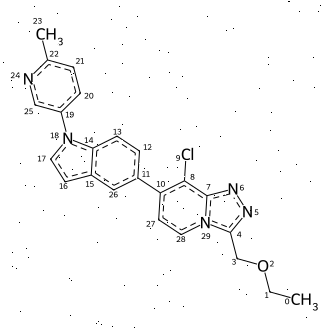 CCOCc1nnc2c(Cl)c(-c3ccc4c(ccn4-c4ccc(C)nc4)c3)ccn12